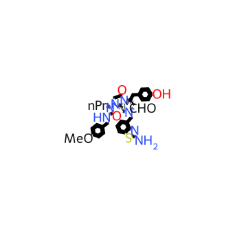 CCCN(C(=O)NCc1ccc(OC)cc1)N1CC(=O)N([C@H](C)Cc2ccc(O)cc2)[C@@H]1CN(C=O)Cc1cccc2sc(N)nc12